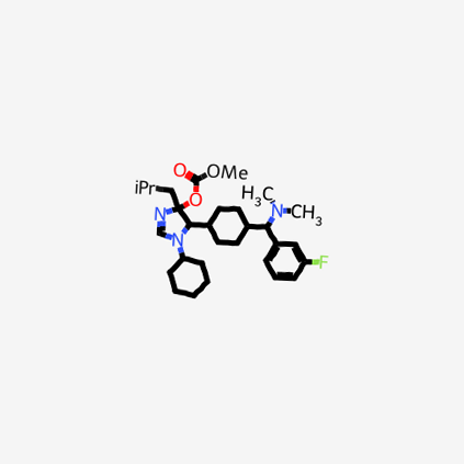 COC(=O)OC1(CC(C)C)N=CN(C2CCCCC2)C1C1CCC(C(c2cccc(F)c2)N(C)C)CC1